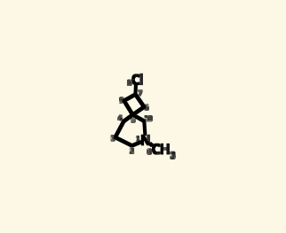 CN1CCCC2(CC(Cl)C2)C1